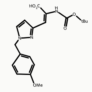 COc1ccc(Cn2ccc(/C=C(/NC(=O)OC(C)(C)C)C(=O)O)n2)cc1